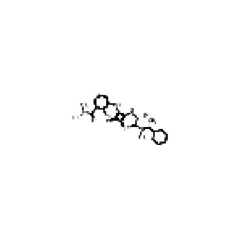 CC(C)[C@@H](Nc1c(Nc2cccc(C(=O)N(C)C)c2O)c(=O)c1=O)C(=O)N(C)[C@H](C)C1CCCCC1